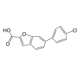 O=C(O)c1cc2ccc(-c3ccc(Cl)cc3)cc2o1